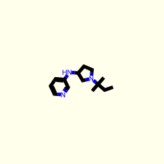 CCC(C)(C)N1CCC(Nc2cccnc2)C1